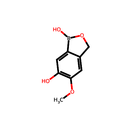 COc1cc2c(cc1O)B(O)OC2